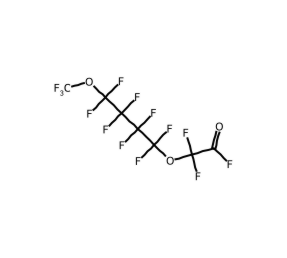 O=C(F)C(F)(F)OC(F)(F)C(F)(F)C(F)(F)C(F)(F)OC(F)(F)F